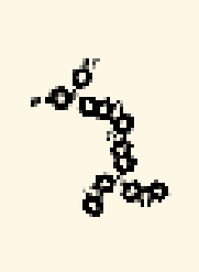 CC(C)c1ccc(N(c2ccc(C(C)C)cc2)c2ccc3cc4c(cc3c2)oc2ccc3c5cc6ccc(N(c7ccc8oc9ccccc9c8c7)c7ccc8oc9ccccc9c8c7)cc6cc5oc3c24)cc1